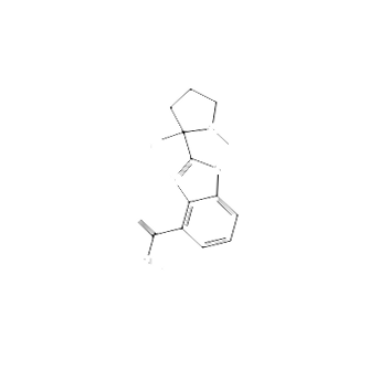 CCN1CCCC1(C)c1nc2c(C(N)=O)cccc2[nH]1